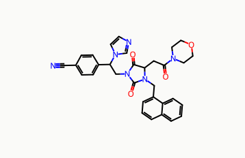 N#Cc1ccc(C(CN2C(=O)C(CC(=O)N3CCOCC3)N(Cc3cccc4ccccc34)C2=O)n2ccnc2)cc1